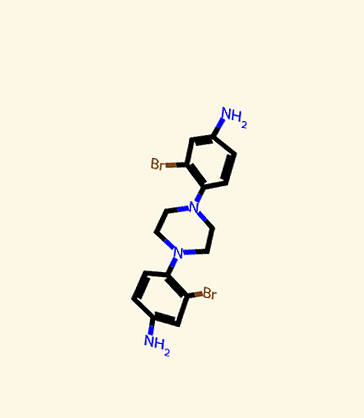 Nc1ccc(N2CCN(c3ccc(N)cc3Br)CC2)c(Br)c1